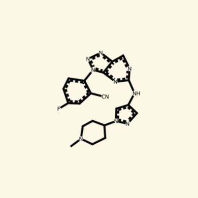 CN1CCC(n2cc(Nc3ncc4nnn(-c5ccc(F)cc5C#N)c4n3)cn2)CC1